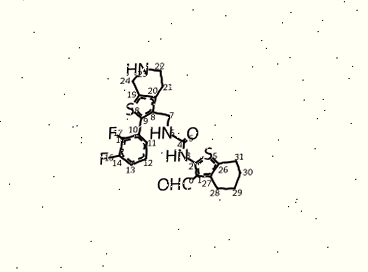 O=Cc1c(NC(=O)NCc2c(-c3cccc(F)c3F)sc3c2CCNC3)sc2c1CCCC2